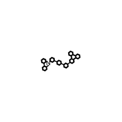 c1cc(-c2ccc(-c3cccc(N4Cc5ccccc5-c5ccccc54)c3)cc2)cc(-c2ccc3c4ccccc4c4ccccc4c3c2)c1